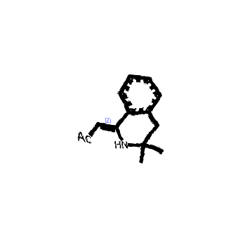 CC(=O)/C=C1\NC(C)(C)Cc2ccccc21